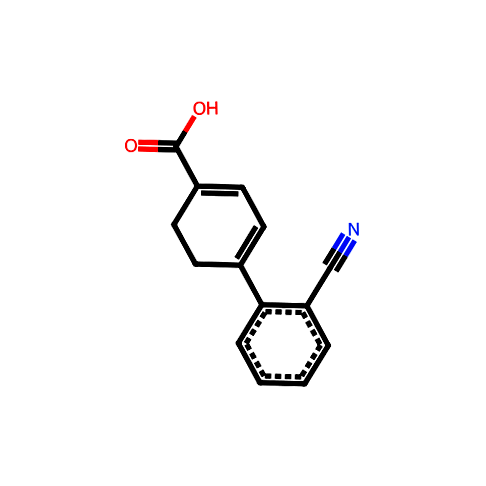 N#Cc1ccccc1C1=CC=C(C(=O)O)CC1